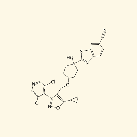 N#Cc1ccc2nc(C3(O)CCC(OCc4c(-c5c(Cl)cncc5Cl)noc4C4CC4)CC3)sc2c1